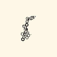 COc1cc(OCC(=O)N2CC[N+](C)(C)CC2)ccc1-c1csc(CNC(=O)C2(CC(=O)[O-])Cc3ccccc3C2)n1